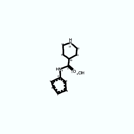 Cl.O=C(Nc1ccccc1)C1CCNCC1